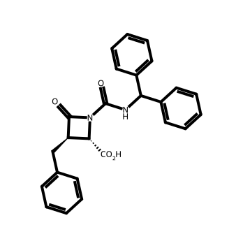 O=C(O)[C@@H]1[C@@H](Cc2ccccc2)C(=O)N1C(=O)NC(c1ccccc1)c1ccccc1